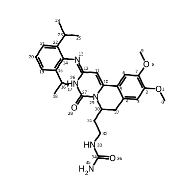 COc1cc2c(cc1OC)-c1cc(=Nc3c(C(C)C)cccc3C(C)C)[nH]c(=O)n1C(CCNC(N)=O)C2